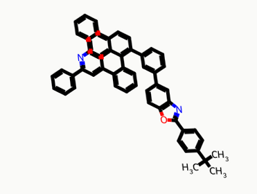 CC(C)(C)c1ccc(-c2nc3cc(-c4cccc(-c5ccc6ccccc6c5-c5ccccc5-c5cc(-c6ccccc6)nc(-c6ccccc6)c5)c4)ccc3o2)cc1